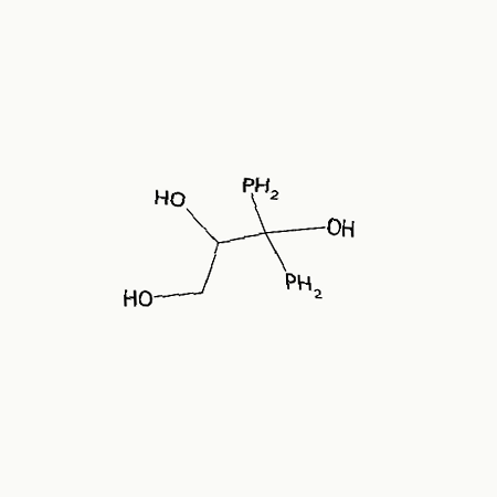 OCC(O)C(O)(P)P